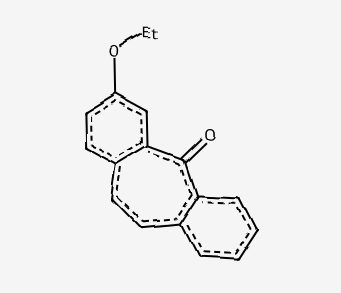 CCOc1ccc2ccc3ccccc3c(=O)c2c1